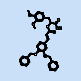 COc1ccc(CC(OC(=O)C=Cc2ccc(OCc3ccccc3)c(OCc3ccccc3)c2)C(=O)O)cc1OC